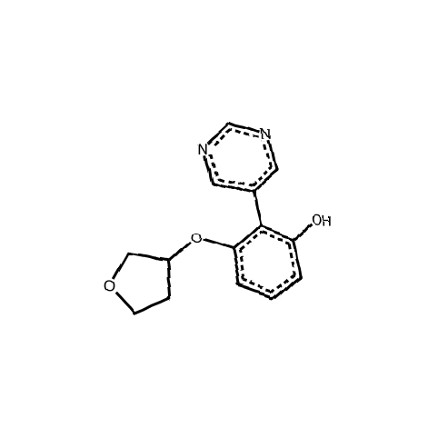 Oc1cccc(OC2CCOC2)c1-c1cncnc1